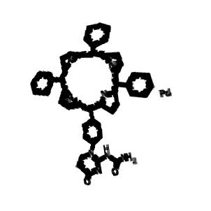 NC(=O)Nc1nc(=O)ccn1-c1ccc(-c2c3nc(c(-c4ccccc4)c4ccc([nH]4)c(-c4ccccc4)c4nc(c(-c5ccccc5)c5ccc2[nH]5)C=C4)C=C3)cc1.[Pd]